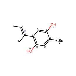 C/C=C(\C)c1cc(O)c(C(C)(C)C)cc1O